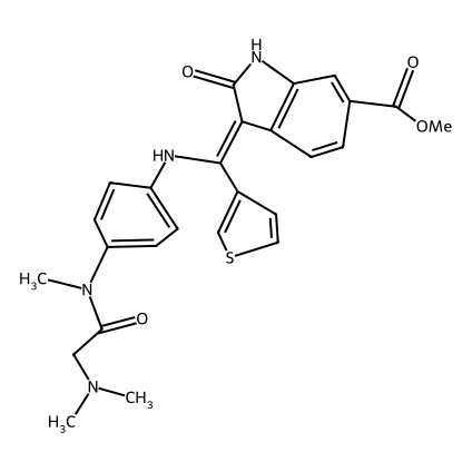 COC(=O)c1ccc2c(c1)NC(=O)/C2=C(\Nc1ccc(N(C)C(=O)CN(C)C)cc1)c1ccsc1